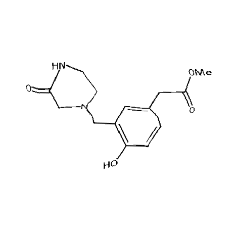 COC(=O)Cc1ccc(O)c(CN2CCNC(=O)C2)c1